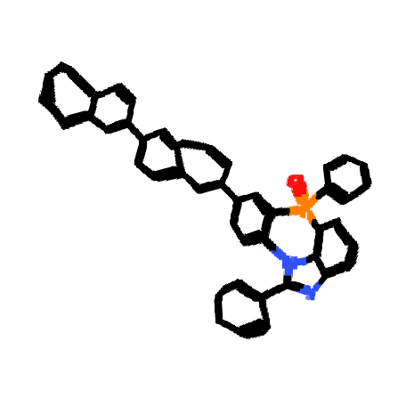 O=P1(c2ccccc2)c2cc(-c3ccc4cc(-c5ccc6ccccc6c5)ccc4c3)ccc2-n2c(-c3ccccc3)nc3cccc1c32